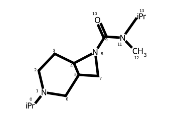 CC(C)N1CCC2C(C1)CN2C(=O)N(C)C(C)C